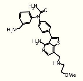 COCCNCc1cnc(N)c2c(-c3ccc(N(C(N)=O)c4cccc(CN)c4)cc3)csc12